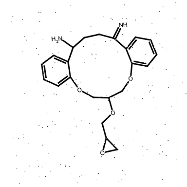 N=C1CCC(N)c2ccccc2OCC(OCC2CO2)COc2ccccc21